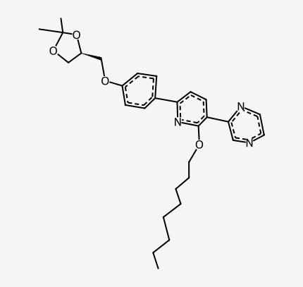 CCCCCCCCOc1nc(-c2ccc(OC[C@H]3COC(C)(C)O3)cc2)ccc1-c1cnccn1